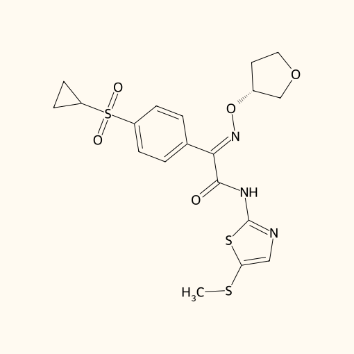 CSc1cnc(NC(=O)/C(=N/O[C@@H]2CCOC2)c2ccc(S(=O)(=O)C3CC3)cc2)s1